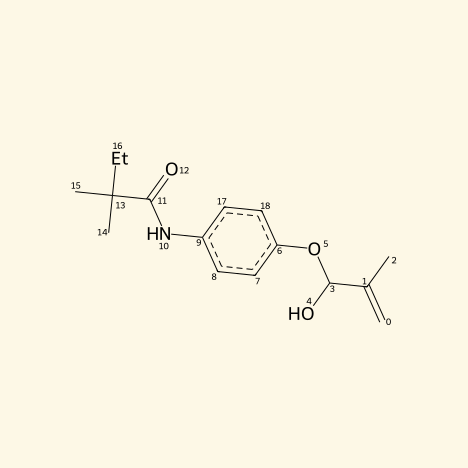 C=C(C)C(O)Oc1ccc(NC(=O)C(C)(C)CC)cc1